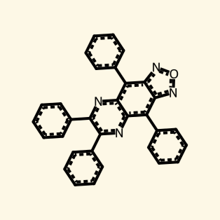 c1ccc(-c2nc3c(-c4ccccc4)c4nonc4c(-c4ccccc4)c3nc2-c2ccccc2)cc1